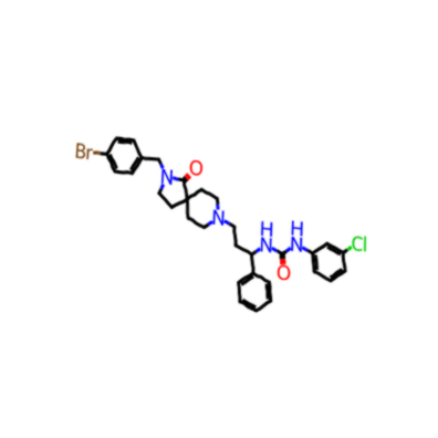 O=C(Nc1cccc(Cl)c1)NC(CCN1CCC2(CC1)CCN(Cc1ccc(Br)cc1)C2=O)c1ccccc1